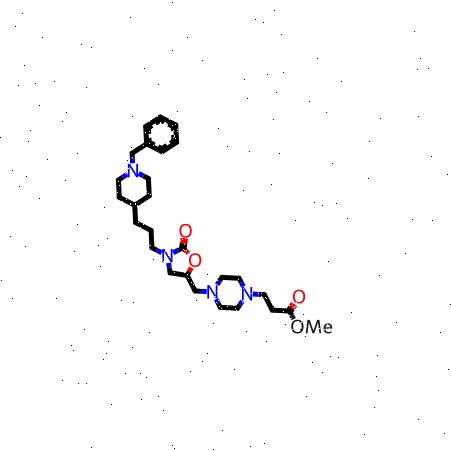 COC(=O)CCN1CCN(CC2CN(CCCC3CCN(Cc4ccccc4)CC3)C(=O)O2)CC1